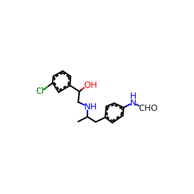 CC(Cc1ccc(NC=O)cc1)NCC(O)c1cccc(Cl)c1